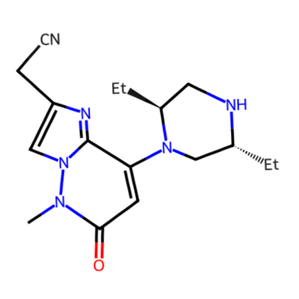 CC[C@@H]1CN(c2cc(=O)n(C)n3cc(CC#N)nc23)[C@@H](CC)CN1